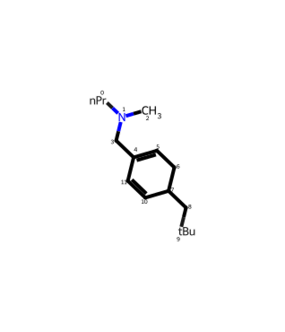 CCCN(C)CC1=CCC(CC(C)(C)C)C=C1